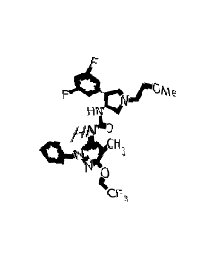 COCCN1C[C@@H](NC(=O)Nc2c(C)c(OCC(F)(F)F)nn2-c2ccccc2)[C@H](c2cc(F)cc(F)c2)C1